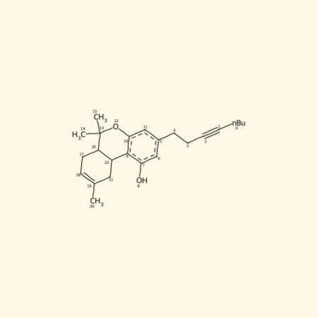 CCCCC#CCCc1cc(O)c2c(c1)OC(C)(C)C1CC=C(C)CC21